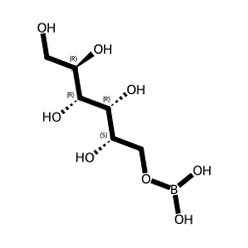 OC[C@@H](O)[C@@H](O)[C@H](O)[C@@H](O)COB(O)O